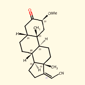 CO[C@H]1C[C@@]2(C)[C@H](CC[C@@H]3[C@@H]2CC[C@]2(C)/C(=C\C#N)CC[C@@H]32)CC1=O